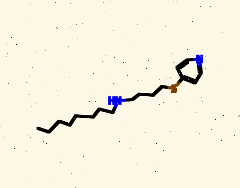 CCCCCCCCNCCCCSc1ccncc1